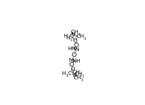 CN(C)CC(C)(C)COc1ccc2nc(-c3ccc(-c4nc5ccc(OCC(C)(C)CN(C)C)cc5[nH]4)cc3)[nH]c2c1